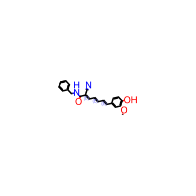 COc1cc(/C=C/C=C/C=C(\C#N)C(=O)NCc2ccccc2)ccc1O